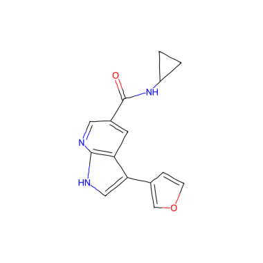 O=C(NC1CC1)c1cnc2[nH]cc(-c3ccoc3)c2c1